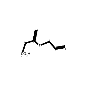 C=CCSC(=C)CC(=O)O